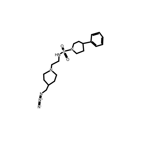 [N-]=[N+]=NCC1CCN(CCNS(=O)(=O)N2CCC(c3ccccc3)CC2)CC1